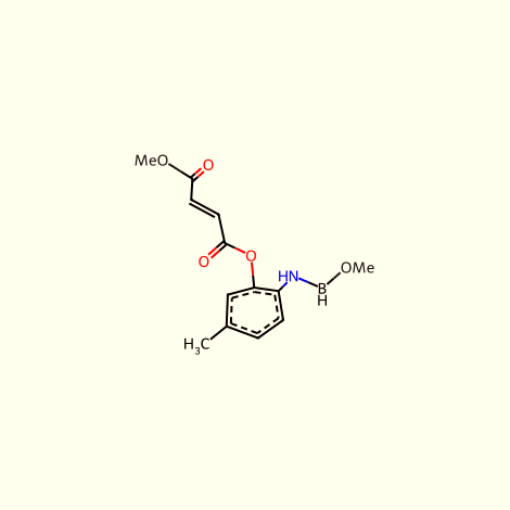 COBNc1ccc(C)cc1OC(=O)/C=C/C(=O)OC